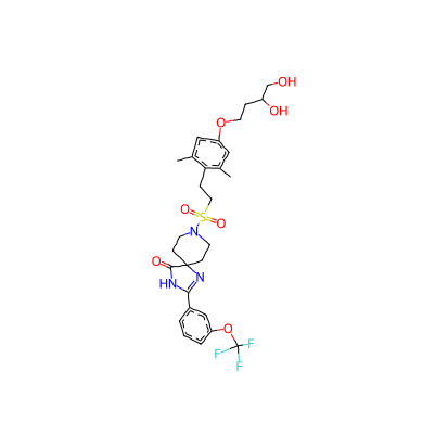 Cc1cc(OCCC(O)CO)cc(C)c1CCS(=O)(=O)N1CCC2(CC1)N=C(c1cccc(OC(F)(F)F)c1)NC2=O